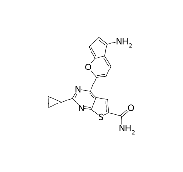 NC(=O)c1cc2c(-c3ccc4c(N)ccc-4o3)nc(C3CC3)nc2s1